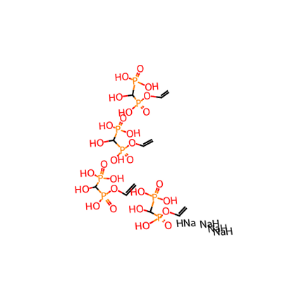 C=COP(=O)(O)C(O)P(=O)(O)O.C=COP(=O)(O)C(O)P(=O)(O)O.C=COP(=O)(O)C(O)P(=O)(O)O.C=COP(=O)(O)C(O)P(=O)(O)O.[NaH].[NaH].[NaH].[NaH]